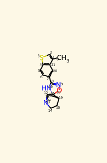 Cc1csc2ccc(C3=NO[C@@]4(CN5CCC4CC5)N3)cc12